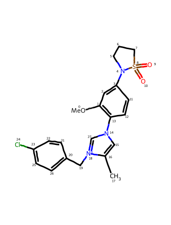 COc1cc(N2CCCS2(=O)=O)ccc1-n1cc(C)[n+](Cc2ccc(Cl)cc2)c1